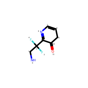 [NH]CC(F)(F)C1=NC=CCC1=O